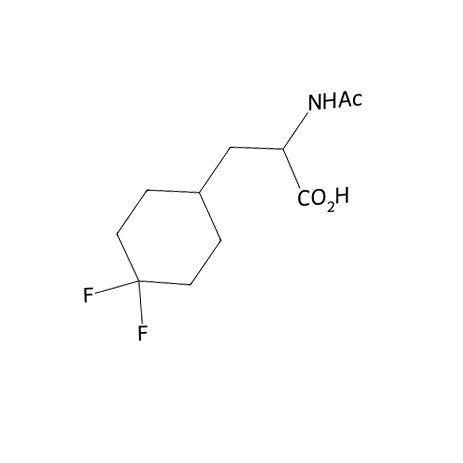 CC(=O)NC(CC1CCC(F)(F)CC1)C(=O)O